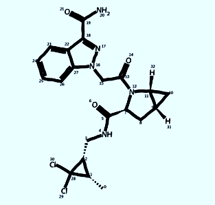 C[C@H]1[C@@H](CNC(=O)[C@@H]2C[C@H]3C[C@H]3N2C(=O)Cn2nc(C(N)=O)c3ccccc32)C1(Cl)Cl